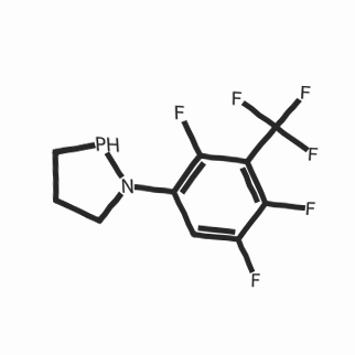 Fc1cc(N2CCCP2)c(F)c(C(F)(F)F)c1F